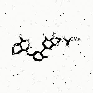 COC(=O)Nc1nc2cc(-c3cc(Cc4n[nH]c(=O)c5ccccc45)ccc3F)cc(F)c2[nH]1